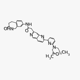 C[C@@H]1CN(c2cccc(-c3ccc4cnc(CC(=O)Nc5ccc6c(c5)CNC(=O)CC6)cc4n3)n2)C[C@H](C)O1